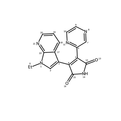 CCn1cc(C2=C(c3cnccn3)C(=O)NC2=O)c2cccnc21